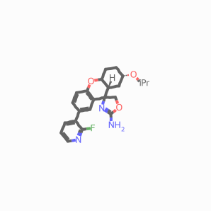 CC(C)O[C@H]1CCC2Oc3ccc(-c4cccnc4F)cc3C3(COC(N)=N3)[C@H]2C1